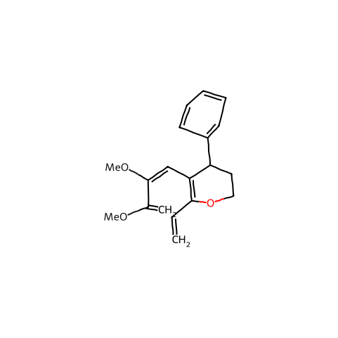 C=CC1=C(/C=C(/OC)C(=C)OC)C(c2ccccc2)CCO1